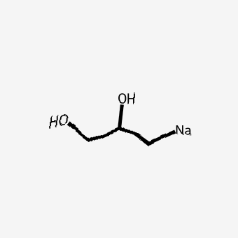 OCC(O)[CH2][Na]